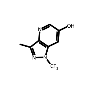 Cc1nn(C(F)(F)F)c2cc(O)cnc12